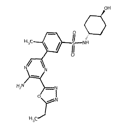 CCc1nnc(-c2nc(-c3cc(S(=O)(=O)N[C@H]4CC[C@H](O)CC4)ccc3C)cnc2N)o1